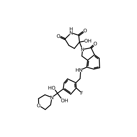 O=C1CCC(O)(N2Cc3c(NCc4ccc(C(O)(O)N5CCOCC5)cc4F)cccc3C2=O)C(=O)N1